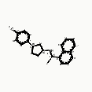 C[C@@H](N[C@H]1CC[C@@H](c2ccc([O])cc2)C1)c1cccc2ccccc12